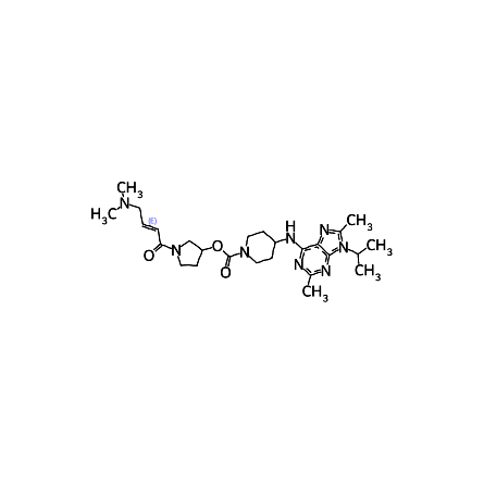 Cc1nc(NC2CCN(C(=O)OC3CCN(C(=O)/C=C/CN(C)C)C3)CC2)c2nc(C)n(C(C)C)c2n1